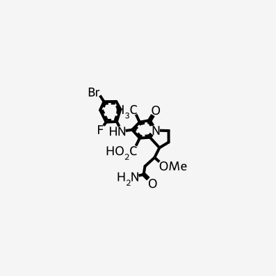 COC(CC(N)=O)C1CCn2c1c(C(=O)O)c(Nc1ccc(Br)cc1F)c(C)c2=O